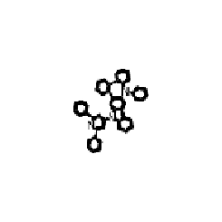 c1ccc(-c2cc(-n3c4ccccc4c4cc5c(cc43)-c3ccccc3-c3ccccc3N5c3ccccc3)cc(-c3ccccc3)n2)cc1